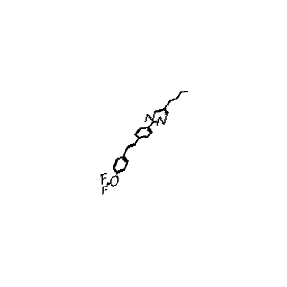 CCCCc1cnc(-c2ccc(C=Cc3ccc(OC(F)F)cc3)cc2)nc1